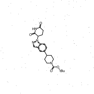 CC(C)(C)OC(=O)N1CCC(c2ccc3c(cnn3C3CCC(=O)NC3=O)c2)CC1